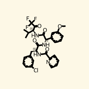 COc1cccc([C@H](NC(=O)[C@H](Cc2cccc(Cl)c2)NC(=O)c2ccccn2)C(=O)N[C@H](C(=O)C(F)(F)F)C(C)C)c1